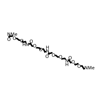 CNCCOCCOCC(=O)NCCOCCOCC(=O)NCCOCCOCC(=O)NCCOCCOCC(=O)NC